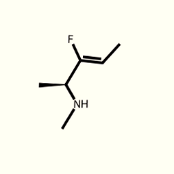 C/C=C(\F)[C@H](C)NC